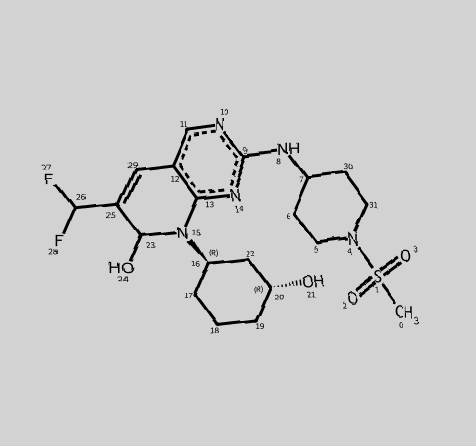 CS(=O)(=O)N1CCC(Nc2ncc3c(n2)N([C@@H]2CCC[C@@H](O)C2)C(O)C(C(F)F)=C3)CC1